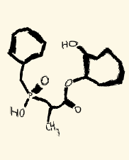 CC(C(=O)OC1CCCCC1O)P(=O)(O)Cc1ccccc1